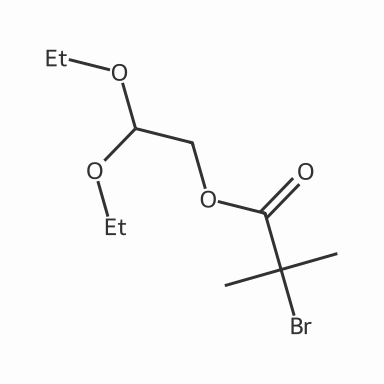 CCOC(COC(=O)C(C)(C)Br)OCC